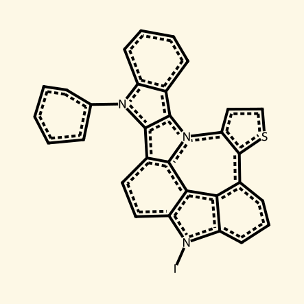 In1c2cccc3c4sccc4n4c5c(ccc1c5c32)c1c4c2ccccc2n1-c1ccccc1